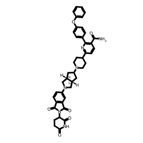 NC(=O)c1ccc(C2CCN(C3C[C@@H]4CN(c5ccc6c(c5)C(=O)N(C5CCC(=O)NC5=O)C6=O)C[C@@H]4C3)CC2)nc1-c1ccc(Oc2ccccc2)cc1